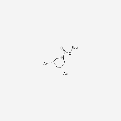 CC(=O)[C@@H]1C[C@H](C(C)=O)CN(C(=O)OC(C)(C)C)C1